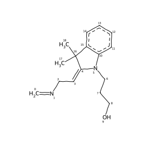 C=NC/C=C1/N(CCCO)c2ccccc2C1(C)C